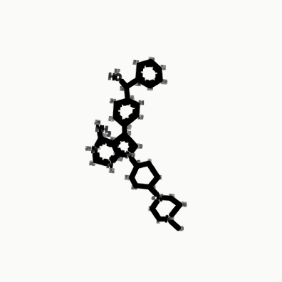 CN1CCN(C2CCC(n3cc(-c4ccc(C(O)c5ccccc5)cc4)c4c(N)ncnc43)CC2)CC1